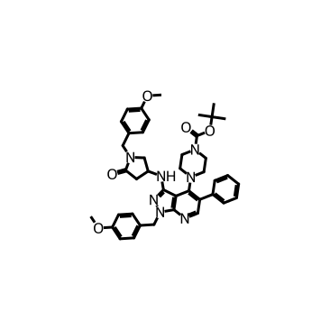 COc1ccc(CN2CC(Nc3nn(Cc4ccc(OC)cc4)c4ncc(-c5ccccc5)c(N5CCN(C(=O)OC(C)(C)C)CC5)c34)CC2=O)cc1